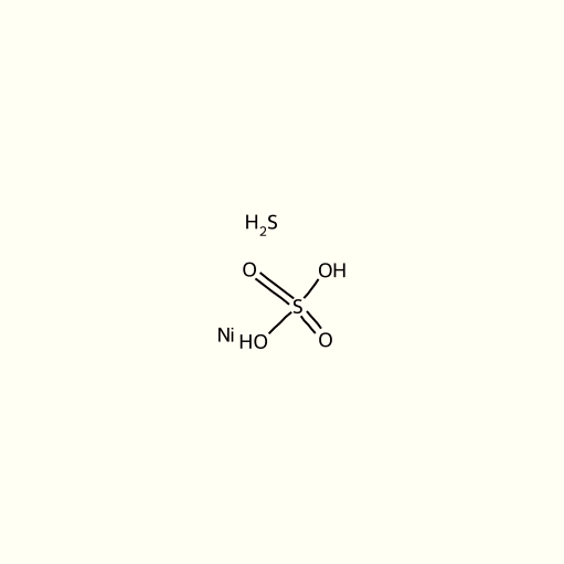 O=S(=O)(O)O.S.[Ni]